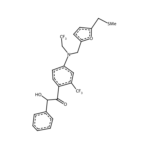 CSCc1ccc(CN(CC(F)(F)F)c2ccc(C(=O)C(O)c3ccccc3)c(C(F)(F)F)c2)o1